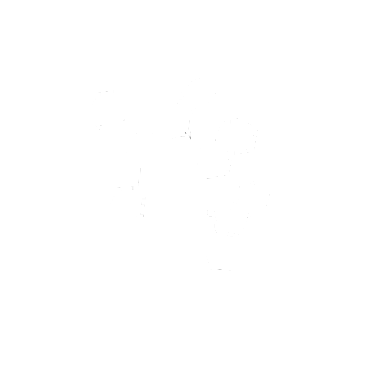 c1ccc(-c2cc(-c3ccccc3)cc(N(c3ccccc3)c3ccc(-c4cccc5c4oc4ccccc45)c4ccccc34)c2)cc1